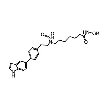 O=C(CCCCCCN(CCc1ccc(-c2ccc3[nH]ccc3c2)cc1)[SH](=O)=O)NO